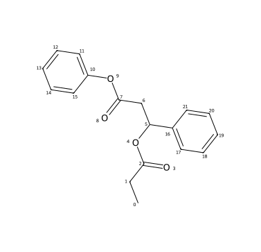 CCC(=O)OC(CC(=O)Oc1ccccc1)c1ccccc1